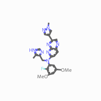 COc1cc(OC)c(F)c(N(Cc2nc[nH]c2C)c2ccc3ncc(-c4cnn(C)c4)nc3n2)c1